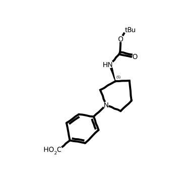 CC(C)(C)OC(=O)N[C@H]1CCCN(c2ccc(C(=O)O)cc2)C1